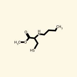 CCCCNC(CS)C(=O)OC